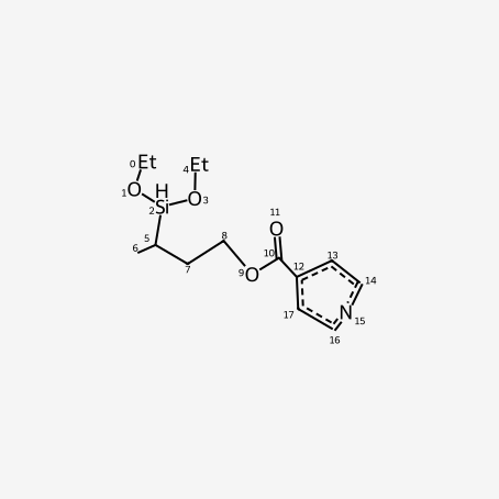 CCO[SiH](OCC)C(C)CCOC(=O)c1ccncc1